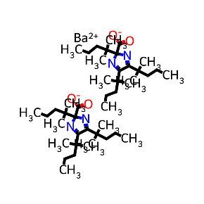 CCCC(C)(C)C1=NC(C(=O)[O-])(C(C)(C)CCC)N=C1C(C)(C)CCC.CCCC(C)(C)C1=NC(C(=O)[O-])(C(C)(C)CCC)N=C1C(C)(C)CCC.[Ba+2]